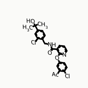 CC(=O)c1cc(Oc2ncccc2C(=O)NCc2ccc(C(C)(C)O)cc2Cl)ccc1Cl